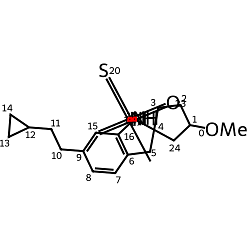 COC1CCC2(Cc3ccc(CCC4CC4)cc3C23NC(=S)NC3=O)C1